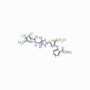 COC(=O)c1ccccc1Cc1nc(N2C[C@@H]3C(NC(=O)c4[nH]c(C)c(Cl)c4Cl)[C@@H]3C2)sc1C(=O)O